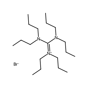 CCCN(CCC)C(N(CCC)CCC)=[N+](CCC)CCC.[Br-]